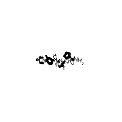 Cc1cc(Nc2ncc(F)c(N[C@H]3CCC[C@H]3C(N)=O)n2)ccc1N1CCN(C)CC1